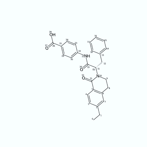 CCc1ccc2c(c1)CCN([C@@H](Cc1ccccc1)C(=O)Nc1ccc(C(=O)O)cc1)C2=O